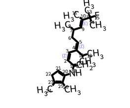 C=C(/C=C\C(=C/CC(C)/C=C(\C)C(C)(C)F)C(C)C)NC1=CCC(C)=C1C